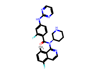 Cc1ccc(F)c2ccnc(N(C(=O)c3ccc(Nc4ncccn4)cc3F)[C@@H]3CCCNC3)c12